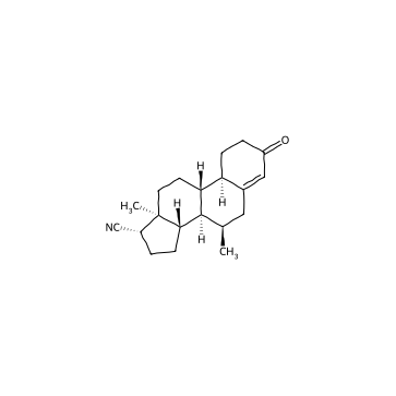 C[C@@H]1CC2=CC(=O)CC[C@@H]2[C@H]2CC[C@]3(C)[C@@H](C#N)CC[C@H]3[C@@H]21